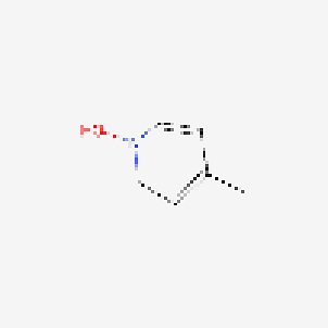 CC1=CCN(O)C=C1